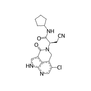 N#CC[C@H](C(=O)NC1CCCC1)N1Cc2c(Cl)cnc3[nH]cc(c23)C1=O